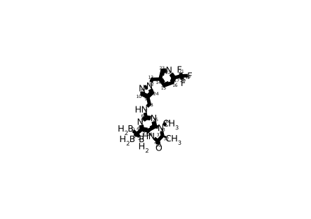 BC(B)(B)c1nc(NCc2cnn(Cc3ccc(C(F)(F)F)nc3)c2)nc2c1NC(=O)[C@H](C)N2C